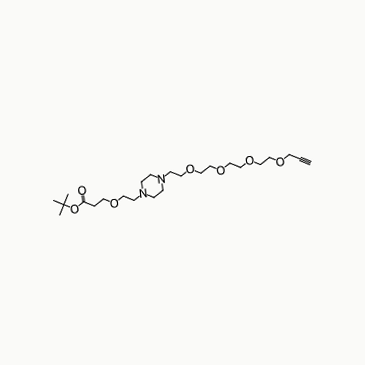 C#CCOCCOCCOCCOCCN1CCN(CCOCCC(=O)OC(C)(C)C)CC1